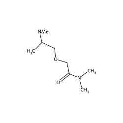 CNC(C)COCC(=O)N(C)C